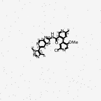 COc1cnc(Cl)cc1-c1cc(C)ncc1C(=O)Nc1nc2cnc(-c3c(C)nnn3C)cc2s1